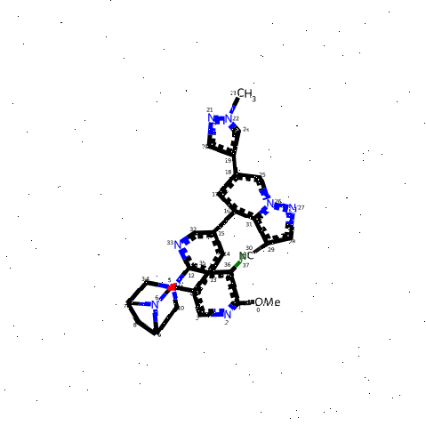 COc1ncc(CN2C3CC2CN(c2ccc(-c4cc(-c5cnn(C)c5)cn5ncc(C#N)c45)cn2)C3)cc1F